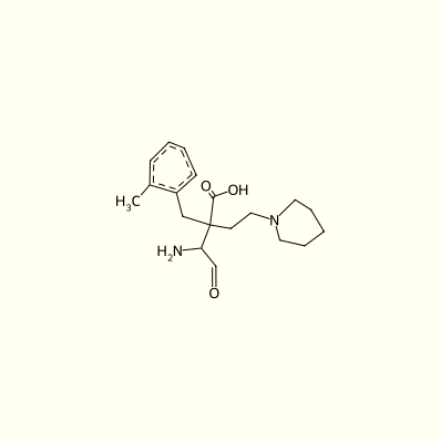 Cc1ccccc1CC(CCN1CCCCC1)(C(=O)O)C(N)C=O